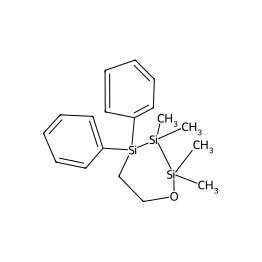 C[Si]1(C)OCC[Si](c2ccccc2)(c2ccccc2)[Si]1(C)C